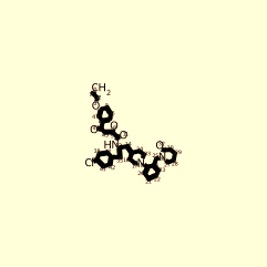 C=CCOc1ccc2oc(C(=O)N/C(C=C3CCN(c4ccccc4CN4CCCCC4=O)CC3)=C\c3ccc(Cl)cc3)cc(=O)c2c1